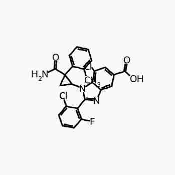 Cc1ccccc1C1(C(N)=O)CC1n1c(-c2c(F)cccc2Cl)nc2cc(C(=O)O)cc(Cl)c21